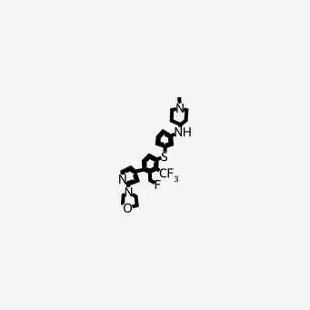 CN1CCC(Nc2cccc(Sc3ccc(-c4ccnc(N5CCOCC5)c4)c(CF)c3C(F)(F)F)c2)CC1